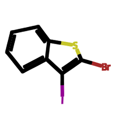 Brc1sc2ccccc2c1I